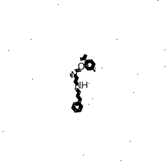 CC(C)[C@@H]1CC[C@@H](C)C[C@H]1OCCN(C)CCNCCCCc1ccccc1